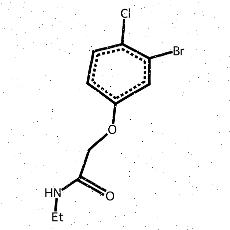 CCNC(=O)COc1ccc(Cl)c(Br)c1